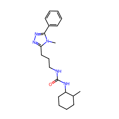 CC1CCCCC1NC(=O)NCCCc1nnc(-c2ccccc2)n1C